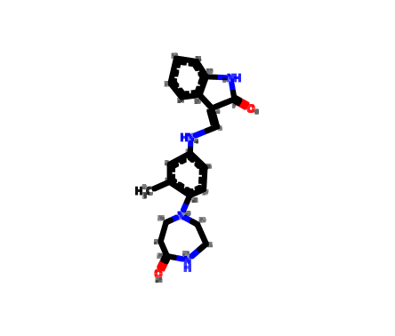 Cc1cc(N/C=C2/C(=O)Nc3ccccc32)ccc1N1CCNC(=O)CC1